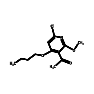 CCCCOc1cc(Cl)nc(OC)c1C(C)=O